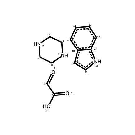 C1CNCCN1.O=CC(=O)O.c1ccc2[nH]ccc2c1